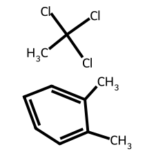 CC(Cl)(Cl)Cl.Cc1ccccc1C